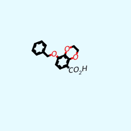 O=C(O)c1ccc(OCc2ccccc2)c2c1OCCO2